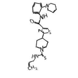 C=CCNC(=S)N1CCC(c2nc(C(=O)Nc3ccccc3N3CCCCC3)cs2)CC1